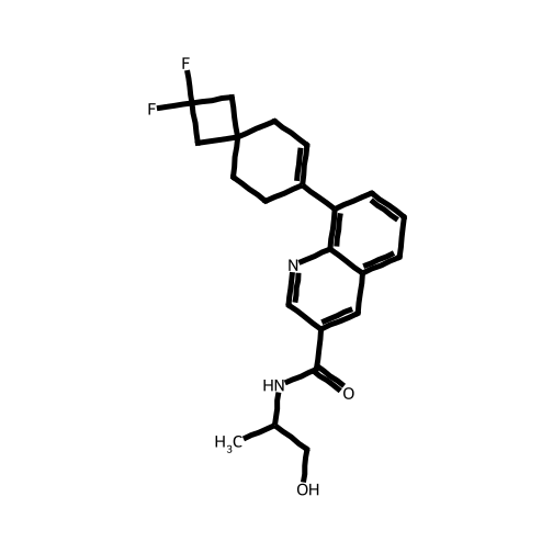 CC(CO)NC(=O)c1cnc2c(C3=CCC4(CC3)CC(F)(F)C4)cccc2c1